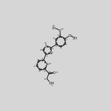 CCOc1ccc(-c2nc(-c3cccc(C(=O)CO)n3)cs2)cc1OCC